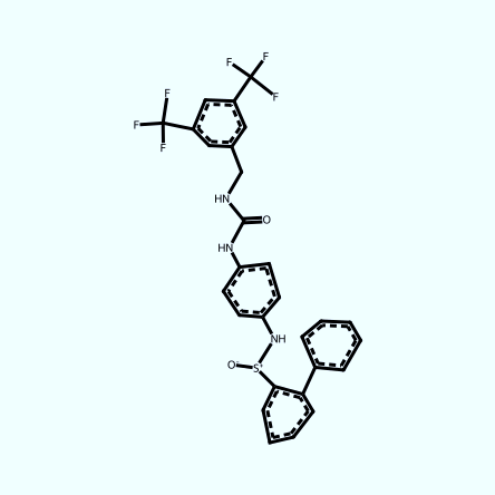 O=C(NCc1cc(C(F)(F)F)cc(C(F)(F)F)c1)Nc1ccc(N[S+]([O-])c2ccccc2-c2ccccc2)cc1